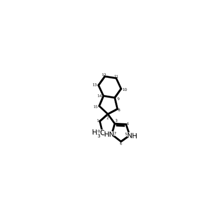 CCC1(C2=CNCN2)CC2CCCCC2C1